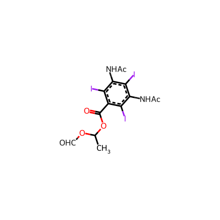 CC(=O)Nc1c(I)c(NC(C)=O)c(I)c(C(=O)OC(C)OC=O)c1I